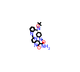 CN1C(=O)C(C(N)=O)C(N(C)[C@H]2CC[C@@H](/C(=N/OC(C)(C)C)c3ccccc3)CC2)c2nc(C#N)ccc21